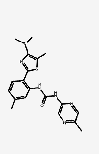 Cc1ccc(-c2nc(N(C)C)c(C)s2)c(NC(=O)Nc2cnc(C)cn2)c1